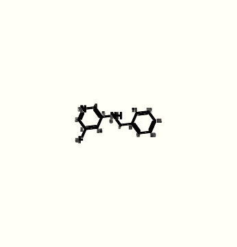 Fc1cncc(NCc2ccccc2)c1